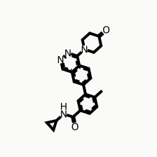 Cc1ccc(C(=O)NC2CC2)cc1-c1ccc2c(N3CCC(=O)CC3)nncc2c1